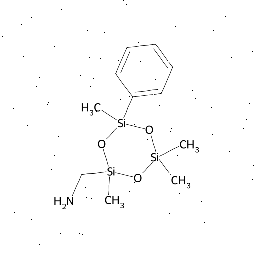 C[Si]1(C)O[Si](C)(CN)O[Si](C)(c2ccccc2)O1